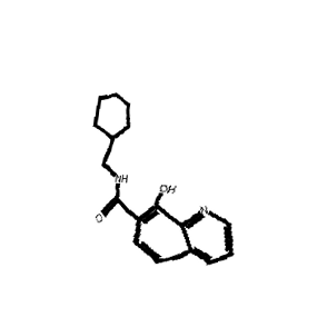 O=C(NCC1CCCCC1)c1ccc2cccnc2c1O